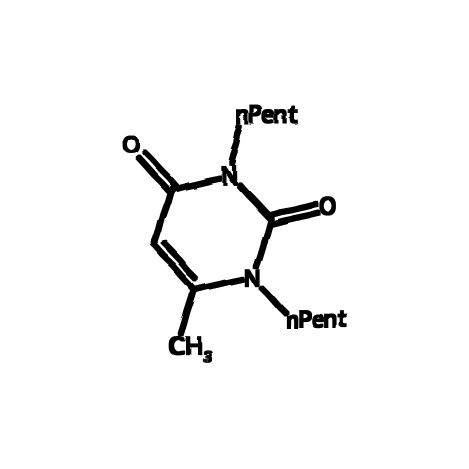 CCCCCn1c(C)cc(=O)n(CCCCC)c1=O